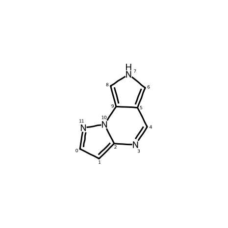 c1cc2ncc3c[nH]cc3n2n1